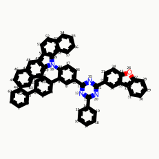 c1ccc(-c2ccc(-c3cc(-c4nc(-c5ccccc5)nc(-c5ccc6oc7ccccc7c6c5)n4)ccc3-n3c4cc5ccccc5cc4c4ccc5ccccc5c43)cc2)cc1